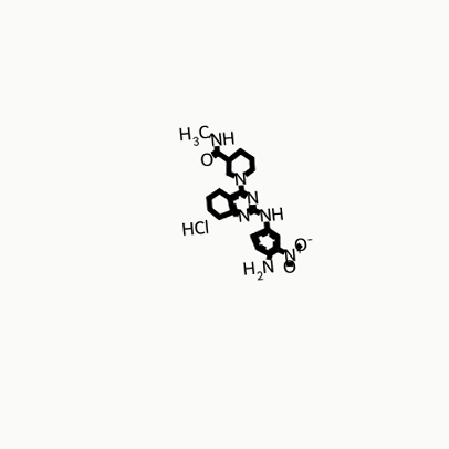 CNC(=O)C1CCCN(c2nc(Nc3ccc(N)c([N+](=O)[O-])c3)nc3c2CCCC3)C1.Cl